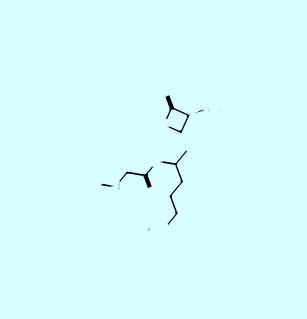 CCCCCCCCCCCCCC(C[C@@H]1OC(=O)[C@H]1CCCCCC)OC(=O)CNC=O